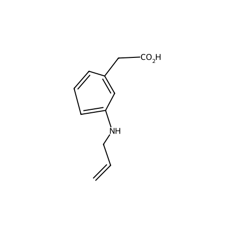 C=CCNc1cccc(CC(=O)O)c1